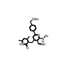 CSCc1ccc(-c2cc(Cc3c(C)cc(C)[nH]c3=O)c(C=N)c(NC(C)C)n2)cc1